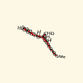 COCCOCCOCCOCCOCCOCCOCCOCCNOCCOCC(N)(COCCC=O)COCCC(=O)NCCOCCOCCOCCOCCOCCOCCOCCO